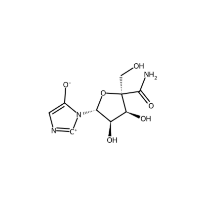 NC(=O)[C@]1(CO)O[C@@H](N2[C+]=NC=C2[O-])[C@H](O)[C@@H]1O